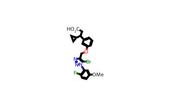 COc1ccc(F)c(-n2nnc(COc3cccc(C(CC(=O)O)C4CC4)c3)c2Br)c1